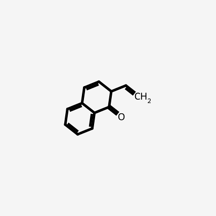 C=CC1C=Cc2ccccc2C1=O